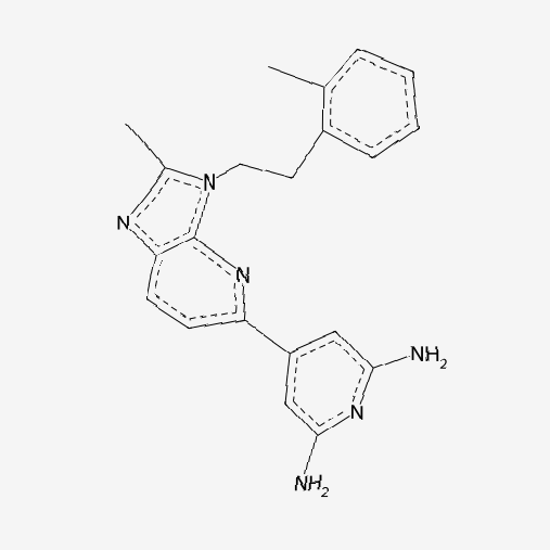 Cc1ccccc1CCn1c(C)nc2ccc(-c3cc(N)nc(N)c3)nc21